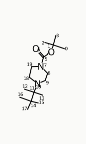 CC(C)(C)OC(=O)N1CCN(C(C)(C)C(C)(C)C)CC1